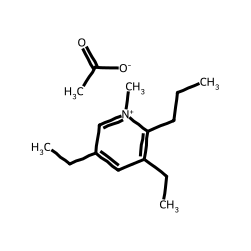 CC(=O)[O-].CCCc1c(CC)cc(CC)c[n+]1C